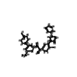 Cc1ccc(C(=O)Nc2cc(N3CCN(C)CC3)cc(C(F)(F)F)c2)cc1-n1cc(-c2cccnc2)nn1